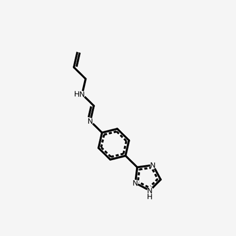 C=CCN/C=N/c1ccc(-c2nc[nH]n2)cc1